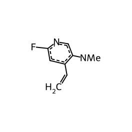 C=Cc1cc(F)ncc1NC